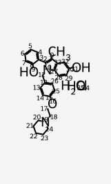 Cc1c(-c2ccccc2O)n(Cc2ccc(OCCN3CCCCC3)cc2)c2ccc(O)cc12.Cl.O